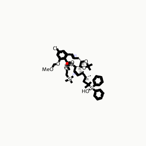 COCOc1cc(Cl)cc(/C=C/C[C@@H]2OC(C)(C)O[C@@H]2C(/C=C\[C@@H](C)[C@H](C)CC(C)(C)[Si](O)(c2ccccc2)c2ccccc2)O[Si](C)(C)C(C)(C)C)c1C(=O)OCC[Si](C)(C)C